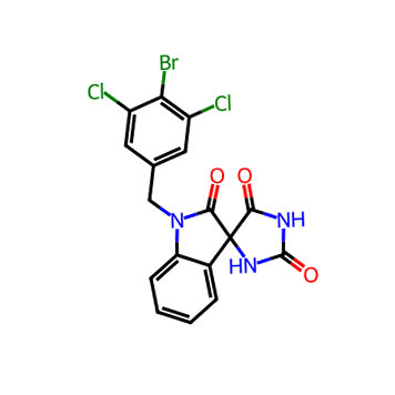 O=C1NC(=O)C2(N1)C(=O)N(Cc1cc(Cl)c(Br)c(Cl)c1)c1ccccc12